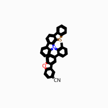 Cc1cccc(-c2ccc3oc4ccc(C#N)cc4c3c2)c1-n1c2ccccc2c2ccc3c4ccccc4sc3c21